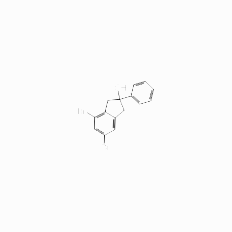 CC1(c2ccccc2)Cc2cc(Br)cc(Br)c2C1